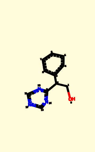 OCC(c1ccccc1)c1ncncn1